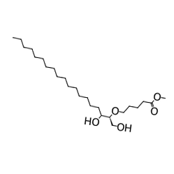 CCCCCCCCCCCCCCCCC(O)[C@H](CO)OCCCCC(=O)OC